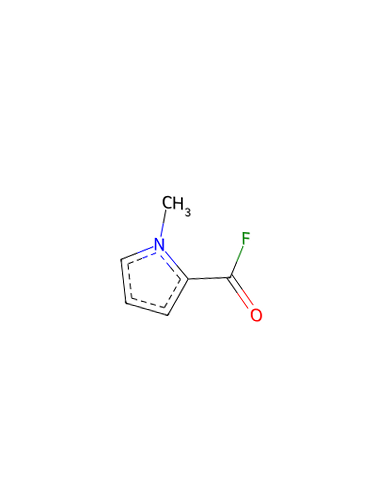 Cn1cccc1C(=O)F